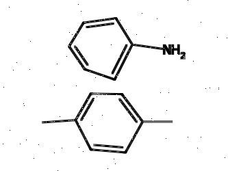 Cc1ccc(C)cc1.Nc1ccccc1